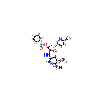 C[C@@](COc1ccc(C#N)nc1)(OC(=O)c1ccccc1)C(=O)Nc1cnc(C#N)c(C(F)(F)F)c1